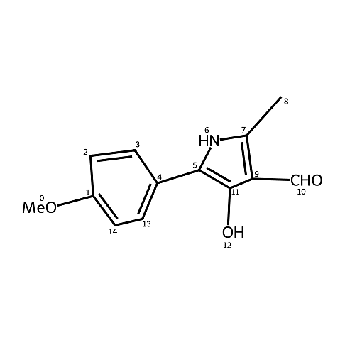 COc1ccc(-c2[nH]c(C)c(C=O)c2O)cc1